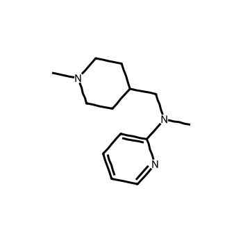 CN1CCC(CN(C)c2ccccn2)CC1